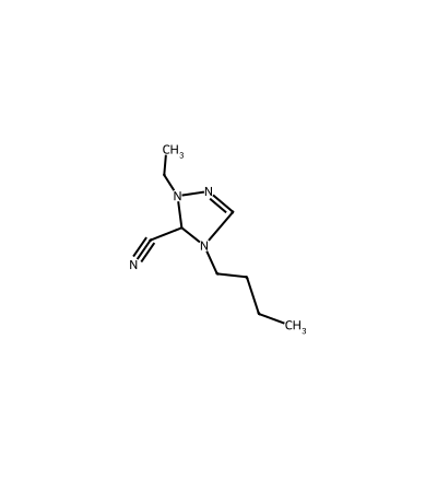 CCCCN1C=NN(CC)C1C#N